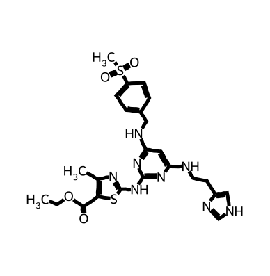 CCOC(=O)c1sc(Nc2nc(NCCc3c[nH]cn3)cc(NCc3ccc(S(C)(=O)=O)cc3)n2)nc1C